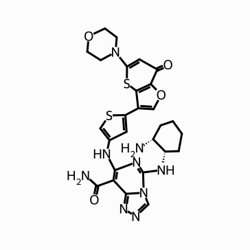 NC(=O)c1c(Nc2csc(-c3coc4c(=O)cc(N5CCOCC5)sc34)c2)nc(N[C@H]2CCCC[C@H]2N)n2cnnc12